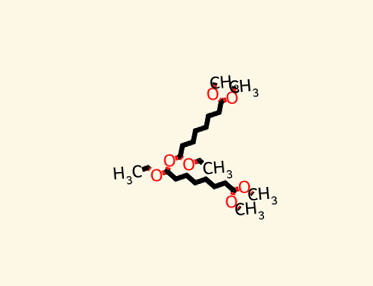 CCOC(CCCCCCC(OC)OC)OC(CCCCCCC(OC)OC)OCC